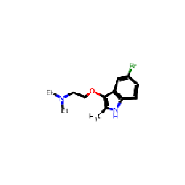 CCN(CC)CCOc1c(C)[nH]c2ccc(Br)cc12